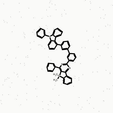 C[Si]1(C)c2ccccc2-c2nc(-c3cccc(-c4cccc(-c5cccc6c5c5ccccc5n6-c5ccccc5)c4)c3)nc(-c3ccccc3)c21